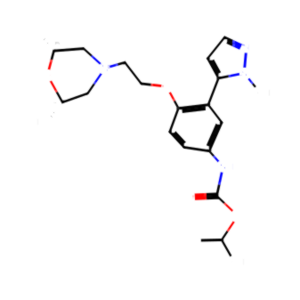 CC(C)OC(=O)Nc1ccc(OCCN2C[C@@H](C)O[C@@H](C)C2)c(-c2ccnn2C)c1